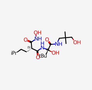 CC(C)CC[C@H](C(=O)NO)C(=O)N[C@@](O)(C(=O)NCC(C)(C)CO)C(C)(C)C